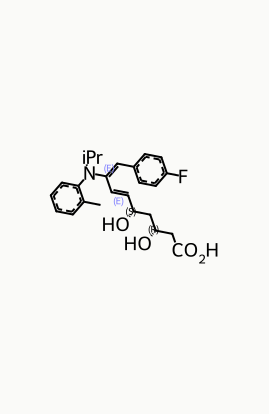 Cc1ccccc1N(C(/C=C/[C@@H](O)C[C@@H](O)CC(=O)O)=C/c1ccc(F)cc1)C(C)C